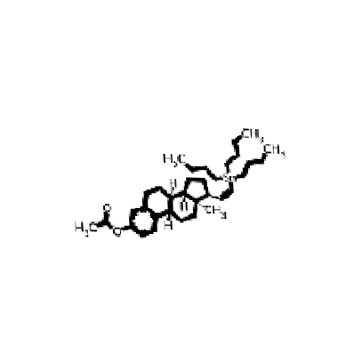 CCC[CH2][Sn](/[CH]=C\[C@@H]1CC[C@H]2[C@@H]3CCc4cc(OC(C)=O)ccc4[C@H]3CC[C@]12C)([CH2]CCC)[CH2]CCC